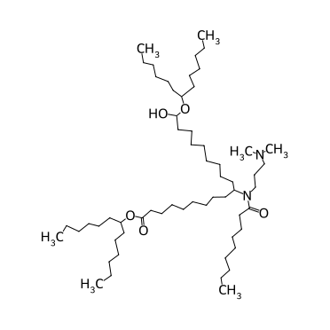 CCCCCCCCC(=O)N(CCCN(C)C)C(CCCCCCCCC(=O)OC(CCCCCC)CCCCCC)CCCCCCCCC(O)OC(CCCCCC)CCCCCC